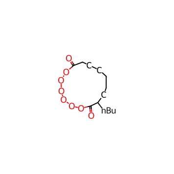 CCCCC1CCCCCCC(=O)OOOOOOC1=O